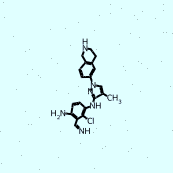 Cc1cn(-c2ccc3c(c2)CCNC3)nc1Nc1ccc(N)c(C=N)c1Cl